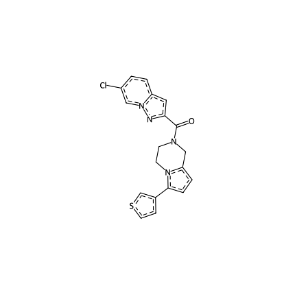 O=C(c1cc2ccc(Cl)cn2n1)N1CCn2c(ccc2-c2ccsc2)C1